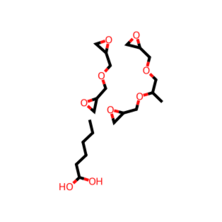 C(OCC1CO1)C1CO1.CC(COCC1CO1)OCC1CO1.CCCCCC(O)O